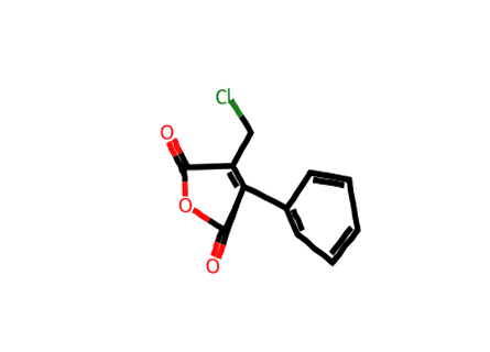 O=C1OC(=O)C(c2ccccc2)=C1CCl